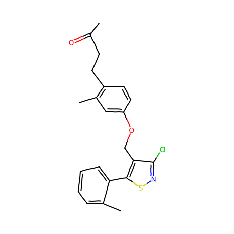 CC(=O)CCc1ccc(OCc2c(Cl)nsc2-c2ccccc2C)cc1C